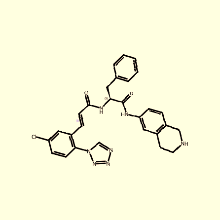 O=C(/C=C/c1cc(Cl)ccc1-n1cnnn1)N[C@@H](Cc1ccccc1)C(=O)Nc1ccc2c(c1)CCNC2